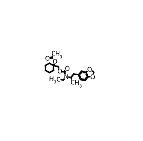 CCN(C(=O)OCC1(OC(C)=O)CCCCC1)C(C)Cc1ccc2c(c1)OCO2